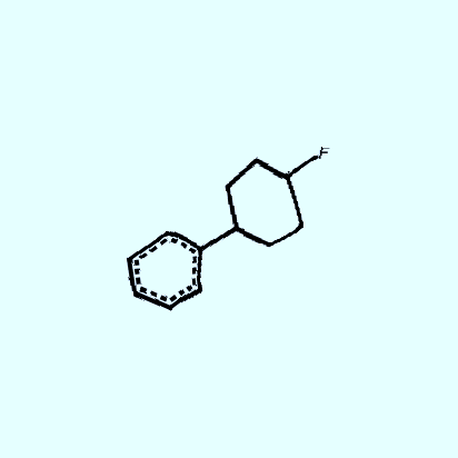 F[C]1CCC(c2ccccc2)CC1